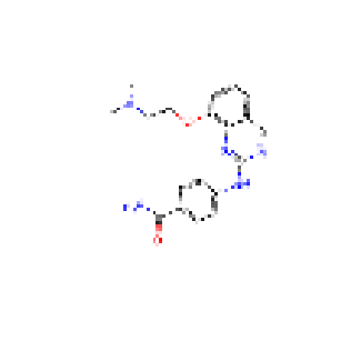 CN(C)CCOc1cccc2cnc(Nc3ccc(C(N)=O)cc3)nc12